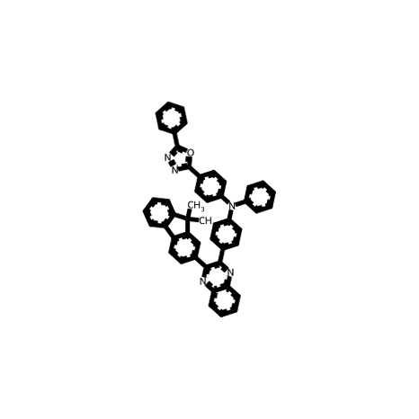 CC1(C)c2ccccc2-c2ccc(-c3nc4ccccc4nc3-c3ccc(N(c4ccccc4)c4ccc(-c5nnc(-c6ccccc6)o5)cc4)cc3)cc21